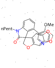 CCCCCN1C(=O)C2(COc3cc4c(cc32)OCO4)c2c(-c3cnccc3OC)cccc21